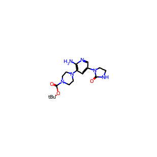 CC(C)(C)OC(=O)N1CCN(c2cc(N3CCNC3=O)cnc2N)CC1